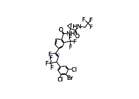 O=C(NC1(C(=O)NCC(F)(F)F)CC1)c1ccc(/C(F)=C/C(c2cc(Cl)c(Br)c(Cl)c2)C(F)(F)F)cc1C(F)(F)F